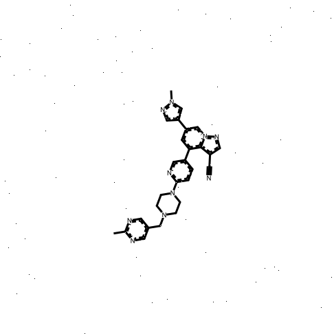 Cc1ncc(CN2CCN(c3ccc(-c4cc(-c5cnn(C)c5)cn5ncc(C#N)c45)cn3)CC2)cn1